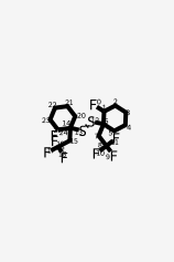 FC1CCCCC1(CC(F)(F)F)SSC1(CC(F)(F)F)CCCCC1F